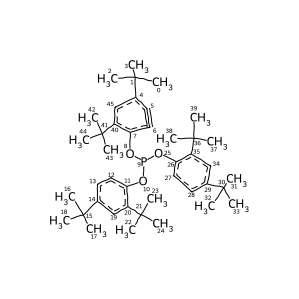 CC(C)(C)c1c#cc(OP(Oc2ccc(C(C)(C)C)cc2C(C)(C)C)Oc2ccc(C(C)(C)C)cc2C(C)(C)C)c(C(C)(C)C)c1